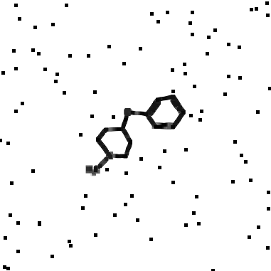 CN1CCC(Oc2[c]cccc2)CC1